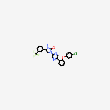 O=C1NC(c2cccc(C(F)(F)F)c2)CN1c1cnc(-c2ccccc2Oc2ccc(Cl)cc2)cn1